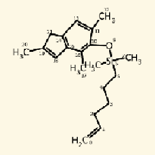 C=CCCCC[Si](C)(C)Oc1c(C)cc2c(c1C)C=C(C)C2